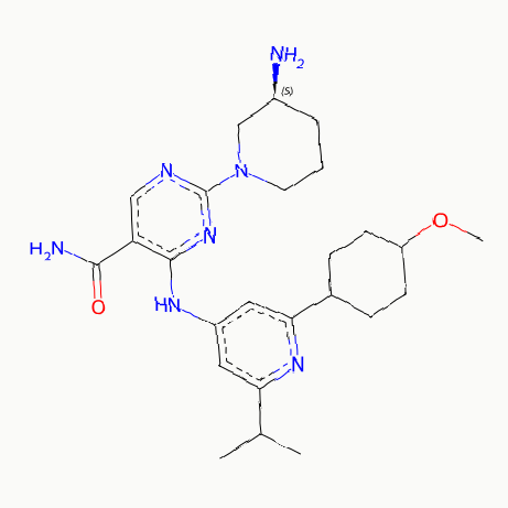 COC1CCC(c2cc(Nc3nc(N4CCC[C@H](N)C4)ncc3C(N)=O)cc(C(C)C)n2)CC1